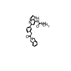 CNC(=O)Nc1cc(-c2cccc(CC(=O)N3Cc4ccccc4C3)c2)nn2ccnc12